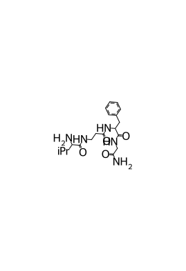 CC(C)C(N)C(=O)NCCC(=O)NC(Cc1ccccc1)C(=O)NCC(N)=O